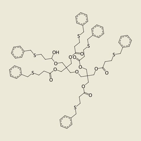 O=C(CCSCc1ccccc1)OCC(COCC(COC(=O)CCSCc1ccccc1)(COC(=O)CCSCc1ccccc1)COC(O)CCSCc1ccccc1)(COC(=O)CCSCc1ccccc1)COC(=O)CCSCc1ccccc1